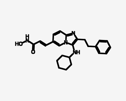 O=C(/C=C/c1ccc2nc(CCc3ccccc3)c(NC3CCCCC3)n2c1)NO